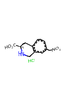 Cl.O=C(O)[C@H]1Cc2ccc([N+](=O)[O-])cc2CN1